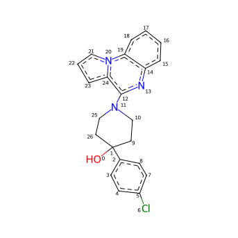 OC1(c2ccc(Cl)cc2)CCN(c2nc3ccccc3n3cccc23)CC1